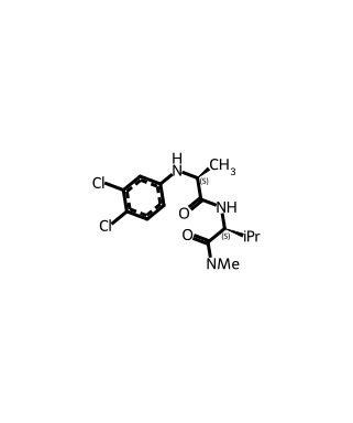 CNC(=O)[C@@H](NC(=O)[C@H](C)Nc1ccc(Cl)c(Cl)c1)C(C)C